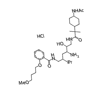 COCCCCOc1ccccc1C(=O)NCC(CC(N)C(O)CNC(=O)C(C)(C)C1CCC(NC(C)=O)CC1)C(C)C.Cl